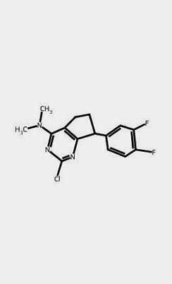 CN(C)c1nc(Cl)nc2c1CCC2c1ccc(F)c(F)c1